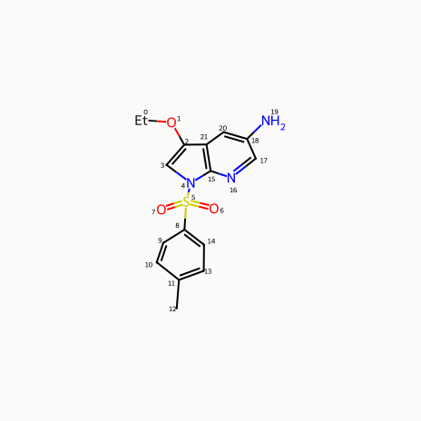 CCOc1cn(S(=O)(=O)c2ccc(C)cc2)c2ncc(N)cc12